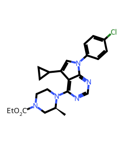 CCOC(=O)N1CCN(c2ncnc3c2c(C2CC2)cn3-c2ccc(Cl)cc2)[C@@H](C)C1